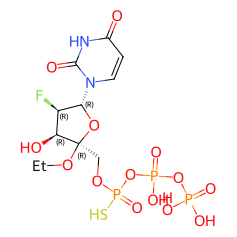 CCO[C@]1(COP(=O)(S)OP(=O)(O)OP(=O)(O)O)O[C@@H](n2ccc(=O)[nH]c2=O)[C@H](F)[C@@H]1O